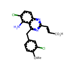 COc1ccc(Cc2nc(C=CC(=O)O)nc3ccc(Cl)c(N)c23)cc1Cl